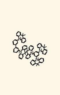 CC1(C)c2ccccc2N(c2cccc(-c3cccc(N4c5ccccc5C(C)(C5(C)c6ccccc6N(c6cc(N7c8ccccc8C(C)(C)c8ccccc87)cc(N7c8ccccc8C(C)(C)c8ccccc87)c6)c6ccccc65)c5ccccc54)c3)c2)c2ccccc21